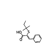 CCC(C)(C)SC(=Cc1ccccc1)C(=O)O